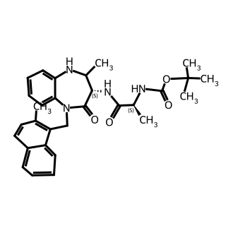 Cc1ccc2ccccc2c1CN1C(=O)[C@@H](NC(=O)[C@H](C)NC(=O)OC(C)(C)C)C(C)Nc2ccccc21